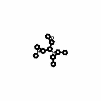 c1ccc(-c2ccc3c(c2)c2cc(-c4ccccc4)ccc2n3-c2cc(-c3ccc4oc5ccccc5c4c3)cc(-c3ccc4c(c3)c3ccccc3n4-c3ccccc3)c2)cc1